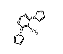 Nc1c([SH]2C=CC=C2)ncnc1[SH]1C=CC=C1